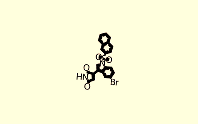 O=C1C=C(c2cn(S(=O)(=O)c3ccc4ccccc4c3)c3ccc(Br)cc23)C(=O)N1